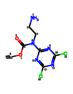 CC(C)(C)OC(=O)N(CCN)c1nc(Cl)nc(Cl)n1